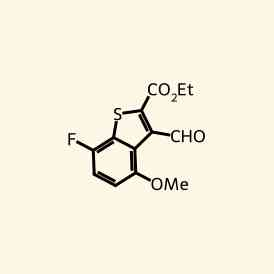 CCOC(=O)c1sc2c(F)ccc(OC)c2c1C=O